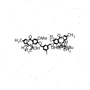 COc1cc2c(cc1OCc1cc(I)cc(COc3cc4c(cc3C)C(=O)N3C=C(C)C[C@H]3[C@H](O[Si](C)(C)C(C)(C)C)N4BC=O)c1)N(B(C)O)[C@@H](C)[C@@H]1CC(C)=CN1C2=O